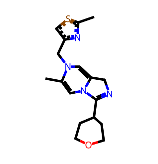 CC1=CN2C(=CN1Cc1csc(C)n1)CN=C2C1CCOCC1